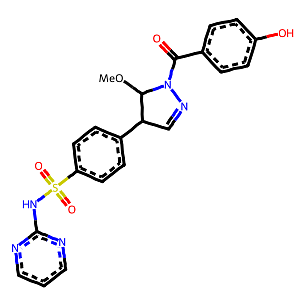 COC1C(c2ccc(S(=O)(=O)Nc3ncccn3)cc2)C=NN1C(=O)c1ccc(O)cc1